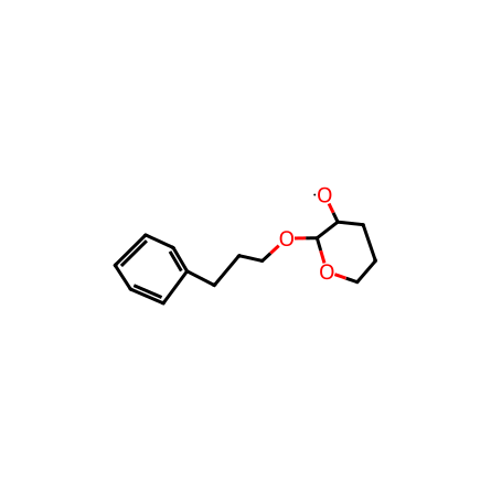 [O]C1CCCOC1OCCCc1ccccc1